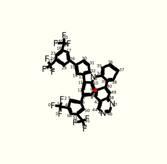 FC(F)(F)c1cc(-c2ccc3c(c2)c2cc(-c4cc(C(F)(F)F)cc(C(F)(F)F)c4)ccc2n3-c2ccccc2-c2ccc3cncnc3c2)cc(C(F)(F)F)c1